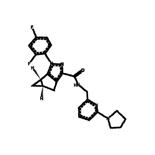 O=C(NCc1cccc(N2CCCC2)n1)c1nn(-c2ccc(F)cc2F)c2c1C[C@H]1C[C@@H]21